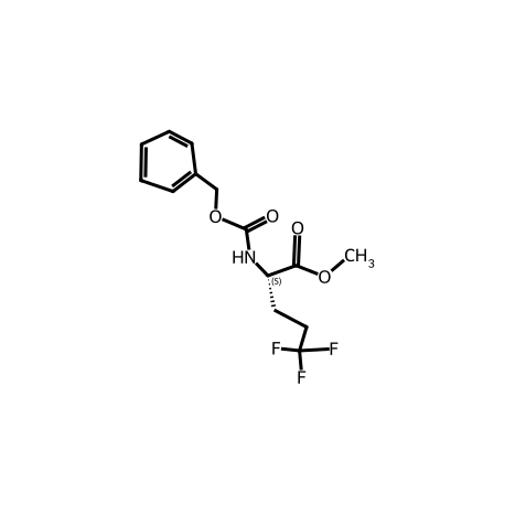 COC(=O)[C@H](CCC(F)(F)F)NC(=O)OCc1ccccc1